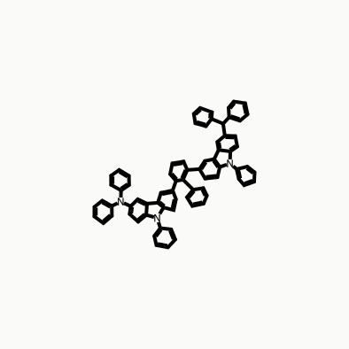 c1ccc(-c2c(-c3ccc4c(c3)c3cc(C(c5ccccc5)c5ccccc5)ccc3n4-c3ccccc3)cccc2-c2ccc3c(c2)c2cc(N(c4ccccc4)c4ccccc4)ccc2n3-c2ccccc2)cc1